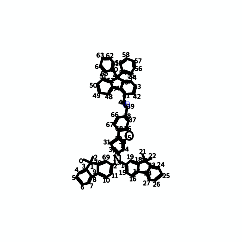 CC1(C)c2ccccc2-c2ccc(N(c3ccc4c(c3)C(C)(C)c3ccccc3-4)c3ccc4c(c3)oc3cc(/C=C/c5cccc6c5-c5ccccc5C6(c5ccccc5)c5ccccc5)ccc34)cc21